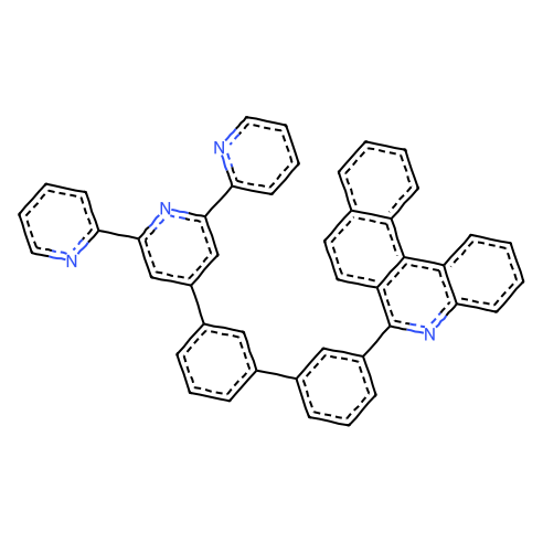 c1ccc(-c2cc(-c3cccc(-c4cccc(-c5nc6ccccc6c6c5ccc5ccccc56)c4)c3)cc(-c3ccccn3)n2)nc1